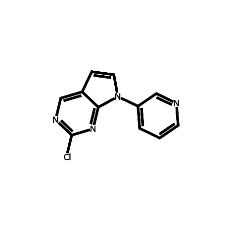 Clc1ncc2ccn(-c3cccnc3)c2n1